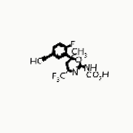 C#Cc1ccc(F)c([C@]2(C)C[C@@H](C(F)(F)F)N=C(NC(=O)O)O2)c1